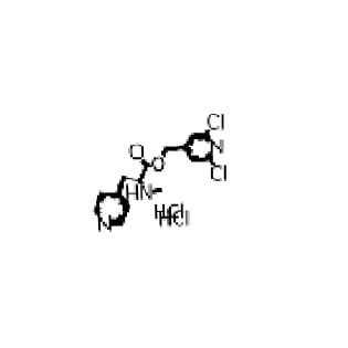 CN[C@@H](Cc1ccncc1)C(=O)OCc1cc(Cl)nc(Cl)c1.Cl.Cl